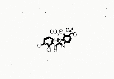 CCOC(=O)c1c(S(C)(=O)=O)ccc2nc(Nc3cccc(Cl)c3Cl)[nH]c12